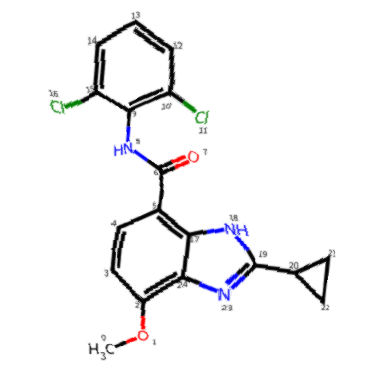 COc1ccc(C(=O)Nc2c(Cl)cccc2Cl)c2[nH]c(C3CC3)nc12